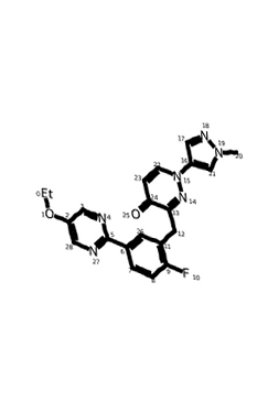 CCOc1cnc(-c2ccc(F)c(Cc3nn(-c4cnn(C)c4)ccc3=O)c2)nc1